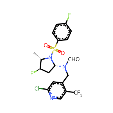 C[C@H]1[C@H](F)C[C@@H](N(C=O)Cc2cc(Cl)ncc2C(F)(F)F)N1S(=O)(=O)c1ccc(F)cc1